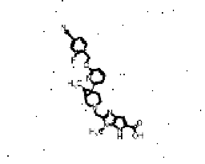 C[C@H]1C2CN(Cc3nc4cc(C(=O)O)[nH]c4n3C)CC[C@]21c1cccc(OCc2ccc(C#N)cc2F)n1